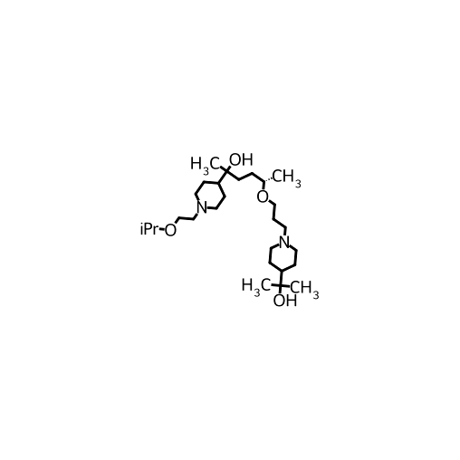 CC(C)OCCN1CCC(C(C)(O)CC[C@H](C)OCCCN2CCC(C(C)(C)O)CC2)CC1